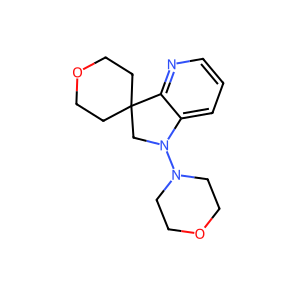 c1cnc2c(c1)N(N1CCOCC1)CC21CCOCC1